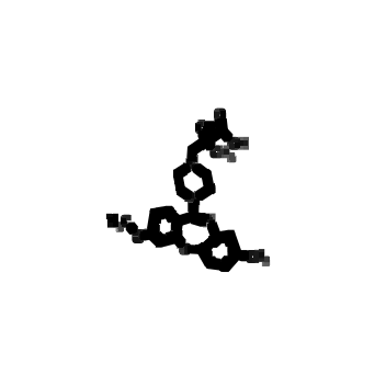 COc1ccc2c(c1)Oc1ccc(C)cc1N=C2N1CCN(CC(C)(C)C(=O)O)CC1